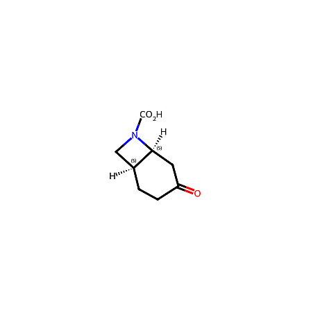 O=C1CC[C@H]2CN(C(=O)O)[C@H]2C1